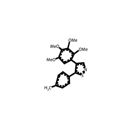 COc1cc(-c2cnsc2-c2ccc(C)cc2)c(OC)c(OC)c1OC